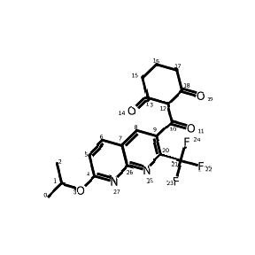 CC(C)Oc1ccc2cc(C(=O)C3C(=O)CCCC3=O)c(C(F)(F)F)nc2n1